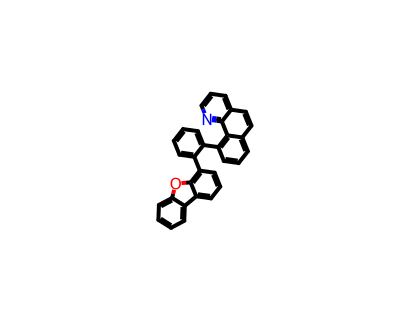 c1ccc(-c2cccc3ccc4cccnc4c23)c(-c2cccc3c2oc2ccccc23)c1